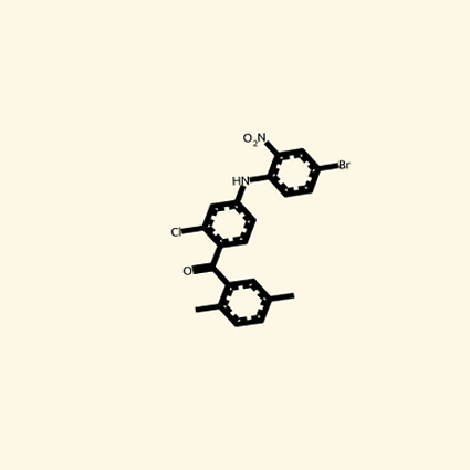 Cc1ccc(C)c(C(=O)c2ccc(Nc3ccc(Br)cc3[N+](=O)[O-])cc2Cl)c1